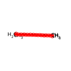 C=C(C)C(=O)OCCOCCOCCOCCOCCOCCOCCOCCOCCOCCOCCOCCOCCOCCOCCOCCOCCOCCOCCOCCOCCOCCOCCOC(=O)C(=C)C